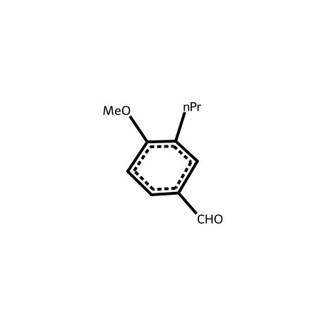 CCCc1cc(C=O)ccc1OC